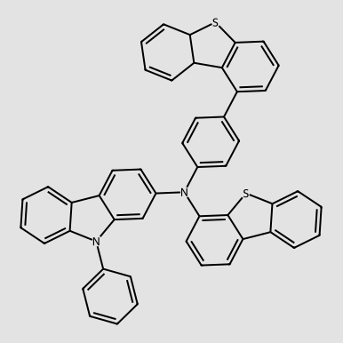 C1=CC2Sc3cccc(-c4ccc(N(c5ccc6c7ccccc7n(-c7ccccc7)c6c5)c5cccc6c5sc5ccccc56)cc4)c3C2C=C1